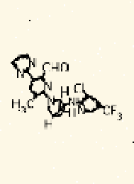 Cc1cc(-c2ncccn2)c(C=O)nc1N1C[C@@H]2CC[C@H]1[C@H](Nc1ncc(C(F)(F)F)cc1Cl)C2